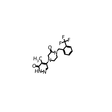 Cc1c(N2CCN(Cc3ccccc3C(F)(F)F)C(=O)C2)cn[nH]c1=O